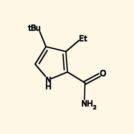 CCc1c(C(C)(C)C)c[nH]c1C(N)=O